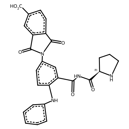 O=C(O)c1ccc2c(c1)C(=O)N(c1ccc(Nc3ccccc3)c(C(=O)NC(=O)[C@H]3CCCN3)c1)C2=O